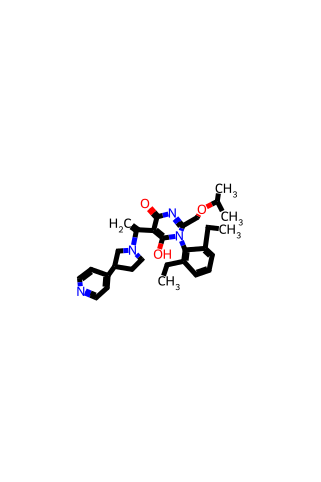 C=C(c1c(O)n(-c2c(CC)cccc2CC)c(COC(C)C)nc1=O)N1CCC(c2ccncc2)C1